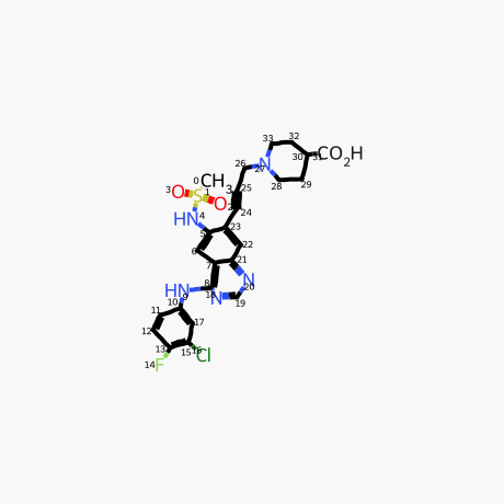 CS(=O)(=O)Nc1cc2c(Nc3ccc(F)c(Cl)c3)ncnc2cc1C#CCN1CCC(C(=O)O)CC1